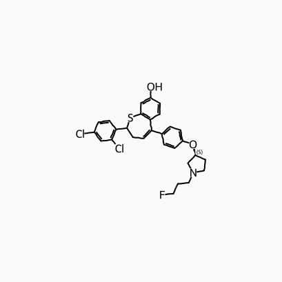 Oc1ccc2c(c1)SC(c1ccc(Cl)cc1Cl)CC=C2c1ccc(O[C@H]2CCN(CCCF)C2)cc1